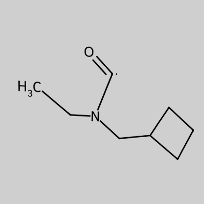 CCN([C]=O)CC1CCC1